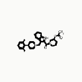 Cc1cccc(C)c1C1CCN(Cc2c(C(=O)N3CCCC(OC(=O)C(F)(F)F)C3)[nH]c3ccccc23)CC1